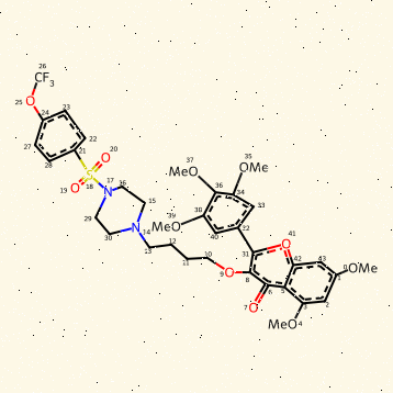 COc1cc(OC)c2c(=O)c(OCCCCN3CCN(S(=O)(=O)c4ccc(OC(F)(F)F)cc4)CC3)c(-c3cc(OC)c(OC)c(OC)c3)oc2c1